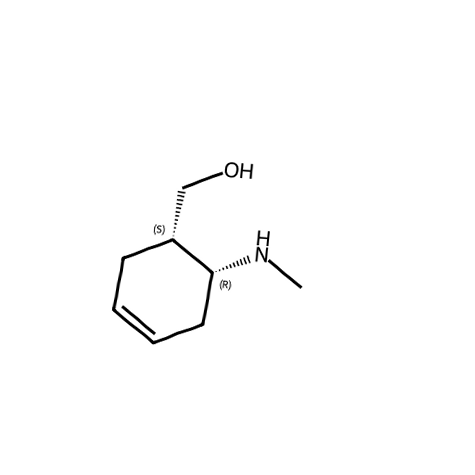 CN[C@@H]1CC=CC[C@@H]1CO